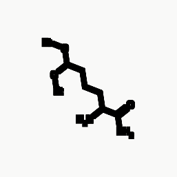 CCOC(CCCC(N)C(N)=O)OCC